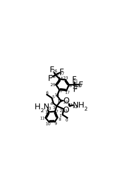 CCCC(CCC)(c1ccccc1N)C(Cc1cc(C(F)(F)F)cc(C(F)(F)F)c1)OC(N)=O